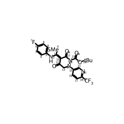 CSC(Nc1ccc(F)cc1)=C1C(=O)CN(c2ccc(C(F)(F)F)nc2)N(C(=O)OC(C)(C)C)C1=O